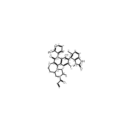 C=CC(=O)N1CC2CCOc3c(c4cc(F)c(-c5c(C)ccc6[nH]c(=O)n(C)c56)c(Cl)c4n(-c4c(C)ccnc4C(C)C)c3=O)N2CC1C